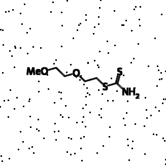 COCCOCCSC(N)=S